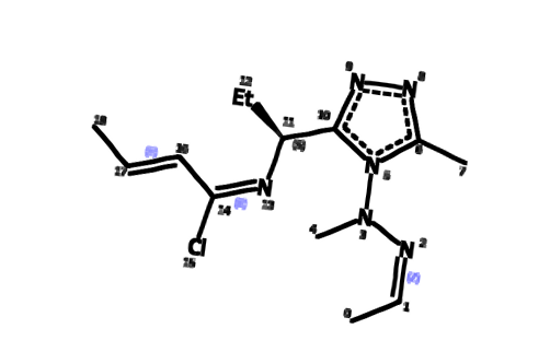 C/C=N\N(C)n1c(C)nnc1[C@H](CC)/N=C(Cl)\C=C\C